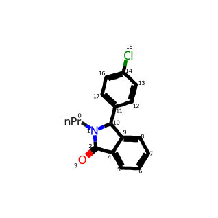 CCCN1C(=O)c2ccccc2C1c1ccc(Cl)cc1